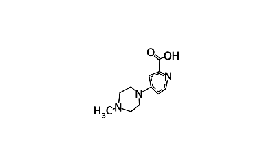 CN1CCN(c2ccnc(C(=O)O)c2)CC1